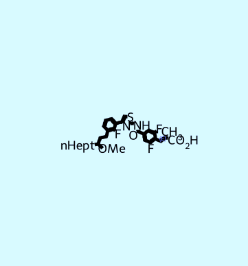 CCCCCCCC(CCc1cccc(-c2csc(NC(=O)c3cc(F)c(/C=C(\C)C(=O)O)c(F)c3)n2)c1F)OC